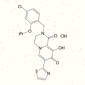 CC(C)Oc1cc(Cl)ccc1CN1CCn2cc(-c3nccs3)c(=O)c(O)c2C1=O.Cl